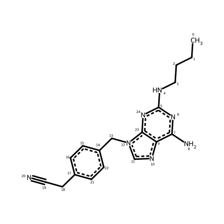 CCCCNc1nc(N)c2ncn(Cc3ccc(CC#N)cc3)c2n1